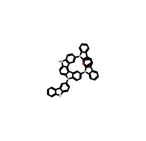 c1ccc2c(c1)oc1ccc(-n3c4ccc(-n5c6ccccc6c6ccccc65)cc4c4c5c(ccc43)[nH]c3ccc(-n4c6ccccc6c6ccccc64)cc35)cc12